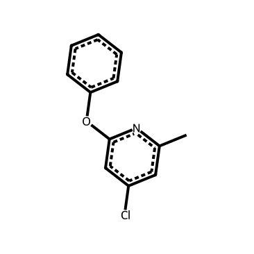 Cc1cc(Cl)cc(Oc2ccccc2)n1